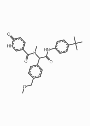 COCc1ccc(C(C(=O)Nc2ccc(C(C)(C)C)cc2)N(C)C(=O)c2ccc(=O)[nH]c2)cc1